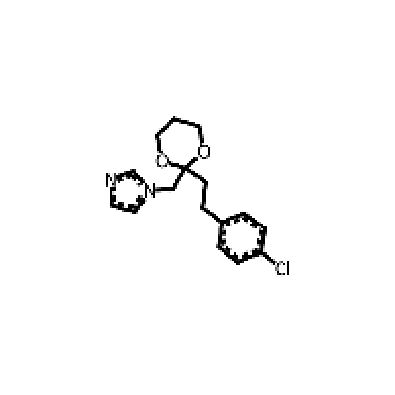 Clc1ccc(CCC2(Cn3ccnc3)OCCCO2)cc1